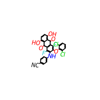 N#Cc1ccc(Nc2c(F)c3c(c(F)c2Oc2c(Cl)cccc2Cl)C(=O)c2c(O)ccc(O)c2C3=O)cc1